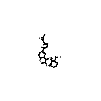 CC1OC1c1ccc(-c2ccc3ncc(S)c(Nc4ccccc4C(=O)O)c3c2)s1